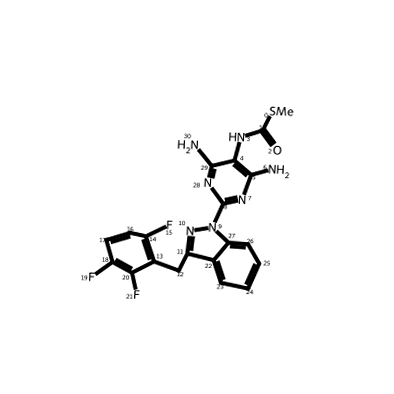 CSC(=O)Nc1c(N)nc(-n2nc(Cc3c(F)ccc(F)c3F)c3ccccc32)nc1N